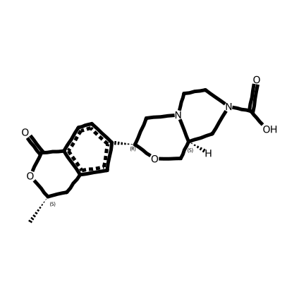 C[C@H]1Cc2cc([C@@H]3CN4CCN(C(=O)O)C[C@H]4CO3)ccc2C(=O)O1